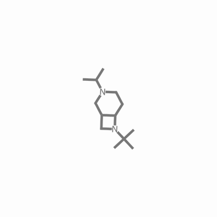 CC(C)N1CCC2C(C1)CN2C(C)(C)C